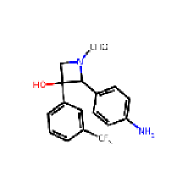 Nc1ccc(C2N(C=O)CC2(O)c2cccc(C(F)(F)F)c2)cc1